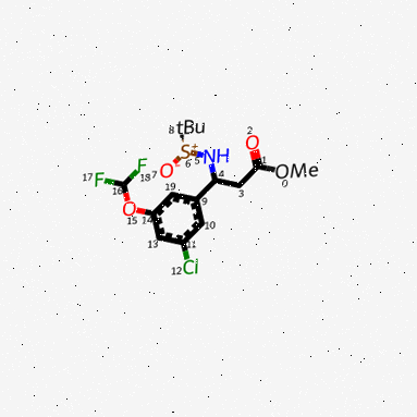 COC(=O)CC(N[S@+]([O-])C(C)(C)C)c1cc(Cl)cc(OC(F)F)c1